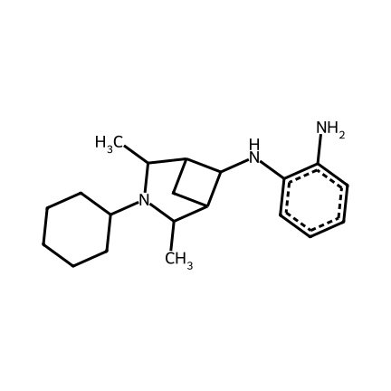 CC1C2CC(C2Nc2ccccc2N)C(C)N1C1CCCCC1